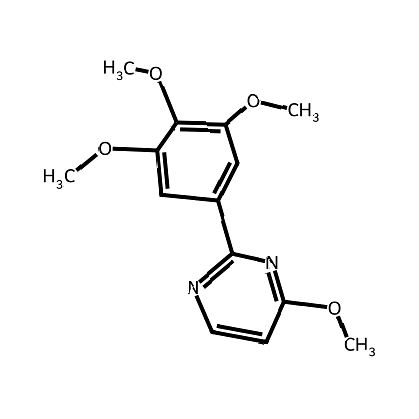 COc1ccnc(-c2cc(OC)c(OC)c(OC)c2)n1